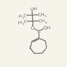 CC(C)(O)C(C)(C)OB(O)C1=CCCCCC1